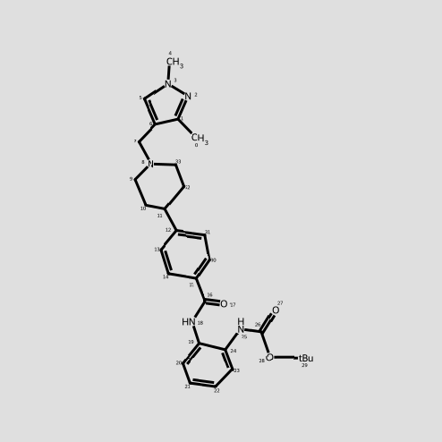 Cc1nn(C)cc1CN1CCC(c2ccc(C(=O)Nc3ccccc3NC(=O)OC(C)(C)C)cc2)CC1